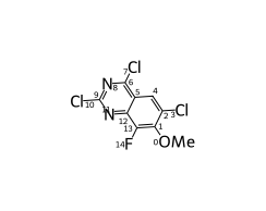 COc1c(Cl)cc2c(Cl)nc(Cl)nc2c1F